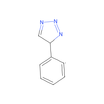 [c]1ccccc1C1C=NN=N1